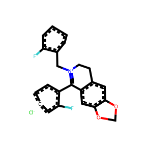 Fc1ccccc1C[N+]1=C(c2ccccc2F)c2cc3c(cc2CC1)OCO3.[Cl-]